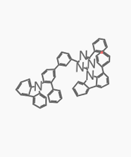 c1ccc(-c2nc(-c3cccc(-c4ccc(-n5c6ccccc6c6ccccc65)c(-c5ccccc5)c4)c3)nc(-n3c4ccccc4c4cccc(-c5ccccc5)c43)n2)cc1